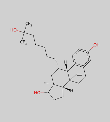 C=CC12CCc3cc(O)ccc3[C@H]1[C@@H](CCCCCC(O)(C(F)(F)F)C(F)(F)F)C[C@]1(C)[C@@H](O)CC[C@@H]21